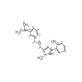 CC1NN(c2ccccc2Cl)C=C1COCc1cccc(N(C)C)c1